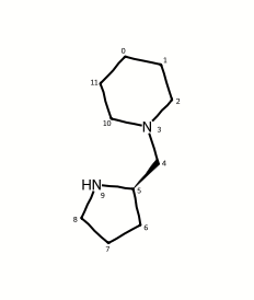 C1CCN(C[C@H]2CCCN2)CC1